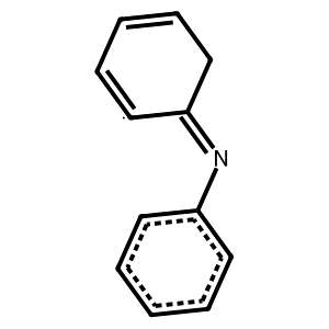 [C]1=CC=CCC1=Nc1ccccc1